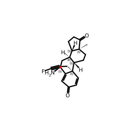 C[C@]12CC[C@H]3[C@@H](C[C@H](N)C4=CC(=O)C=C[C@@]43CC#CF)[C@@H]1CCC2=O